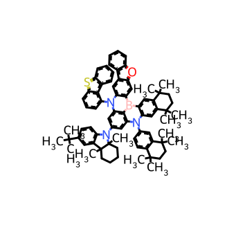 CC(C)(C)c1ccc2c(c1)C1(C)CCCCC1(C)N2c1cc2c3c(c1)N(c1cccc4sc5ccccc5c14)c1cc4c(cc1B3c1cc3c(cc1N2c1ccc2c(c1)C(C)(C)CCC2(C)C)C(C)(C)CCC3(C)C)oc1ccccc14